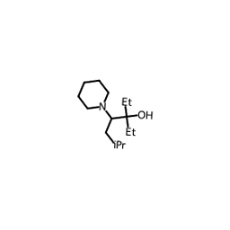 CCC(O)(CC)C(CC(C)C)N1CCCCC1